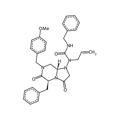 C=CCN(C(=O)NCc1ccccc1)N1CC(=O)N2[C@@H](Cc3ccccc3)C(=O)N(Cc3ccc(OC)cc3)C[C@@H]21